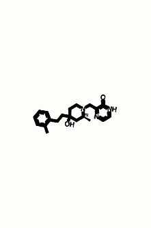 Cc1ccccc1CCC1(O)CCN(Cc2ncc[nH]c2=O)[C@@H](C)C1